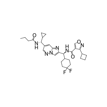 CCCC(=O)N[C@@H](c1cnn2cc([C@@H](NC(=O)c3conc3C3CCC3)C3CCC(F)(F)CC3)nc2c1)C1CC1